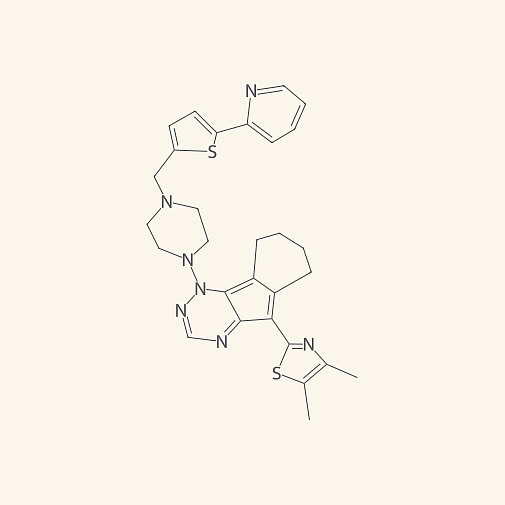 Cc1nc(-c2c3ncnn(N4CCN(Cc5ccc(-c6ccccn6)s5)CC4)c-3c3c2CCCC3)sc1C